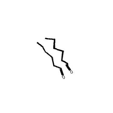 CCCCCC=O.CCCCCC=O